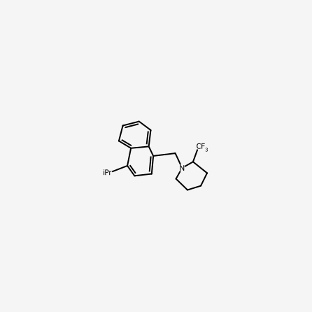 CC(C)c1ccc(CN2CCCCC2C(F)(F)F)c2ccccc12